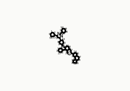 c1ccc(-c2cc(-c3ccc(-n4c5ccccc5c5c6ccc(-c7ccc8ccc9ccccc9c8c7)cc6ccc54)cc3)nc(-c3ccccc3)n2)cc1